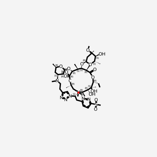 CC[C@H]1OC(=O)[C@H](C)[C@@H](O[C@H]2C[C@@](C)(OC)[C@@H](O)[C@H](C)O2)[C@H](C)[C@@H](O[C@@H]2O[C@H](C)C[C@H](N(C)CCc3cn([C@H](CF)Cc4ccc(S(C)(=O)=O)nn4)nn3)[C@H]2O)[C@](C)(O)C[C@@H](C)CN(C)[C@H](C)[C@@H](O)[C@]1(C)O